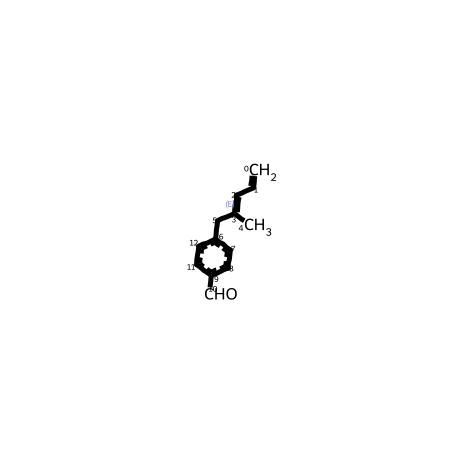 C=C/C=C(\C)Cc1ccc(C=O)cc1